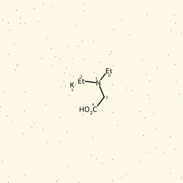 CCN(CC)CC(=O)O.[K]